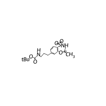 C[C@@H]1CNS(=O)(=O)c2ccc(CCCNC(=O)OC(C)(C)C)cc2O1